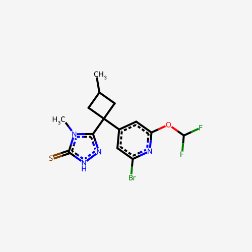 CC1CC(c2cc(Br)nc(OC(F)F)c2)(c2n[nH]c(=S)n2C)C1